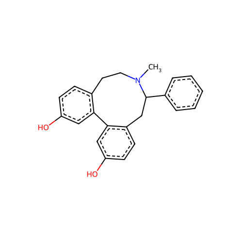 CN1CCc2ccc(O)cc2-c2cc(O)ccc2CC1c1ccccc1